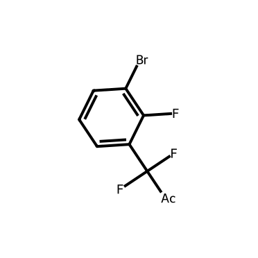 CC(=O)C(F)(F)c1cccc(Br)c1F